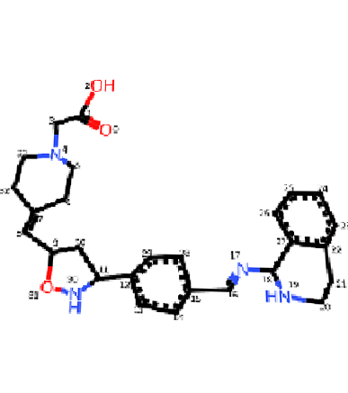 O=C(O)CN1CCC(=CC2CC(c3ccc(C=NC4NCCc5ccccc54)cc3)NO2)CC1